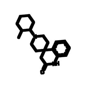 CC1CCCCC1N1CCC2(CC1)CC(=O)Nc1ccccc12